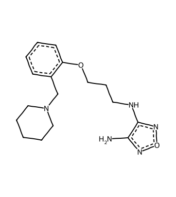 Nc1nonc1NCCCOc1ccccc1CN1CCCCC1